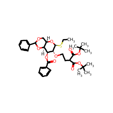 CCS[C@@H]1O[C@@H]2COC(c3ccccc3)O[C@@H]2[C@H](OC(=O)c2ccccc2)[C@H]1OCCC(C(=O)OC(C)(C)C)C(=O)OC(C)(C)C